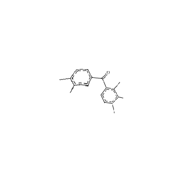 Cc1ccc(C(=O)c2ccc(C)c(C)c2C)cc1C